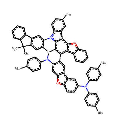 CC(C)(C)c1ccc(N2B3c4cc5c(cc4-n4c6ccc(C(C)(C)C)cc6c6c7oc8ccccc8c7c(c3c64)-c3cc4c(cc32)oc2ccc(N(c3ccc(C(C)(C)C)cc3)c3ccc(C(C)(C)C)cc3)cc24)-c2ccccc2C5(C)C)cc1